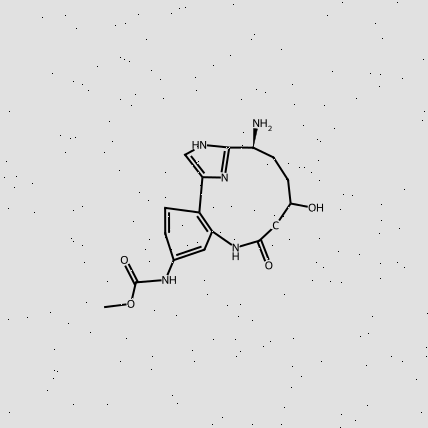 COC(=O)Nc1ccc2c(c1)NC(=O)CC(O)CC[C@H](N)c1nc-2c[nH]1